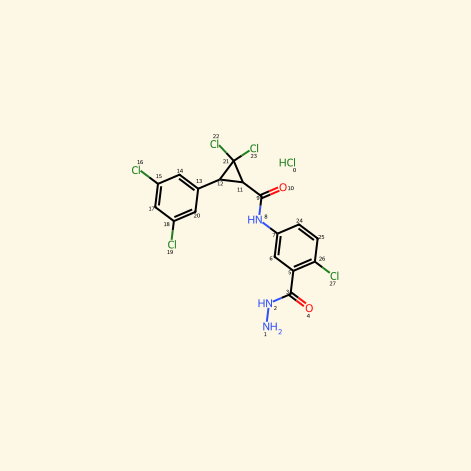 Cl.NNC(=O)c1cc(NC(=O)C2C(c3cc(Cl)cc(Cl)c3)C2(Cl)Cl)ccc1Cl